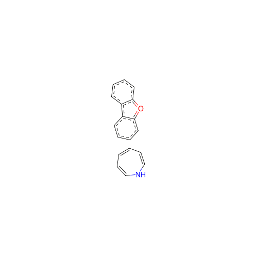 C1=CC=CNC=C1.c1ccc2c(c1)oc1ccccc12